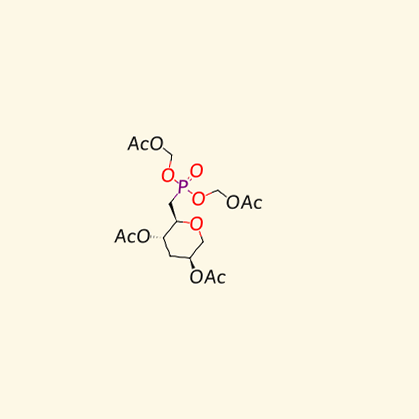 CC(=O)OCOP(=O)(C[C@H]1OC[C@@H](OC(C)=O)C[C@@H]1OC(C)=O)OCOC(C)=O